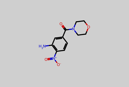 Nc1cc(C(=O)N2CCOCC2)ccc1[N+](=O)[O-]